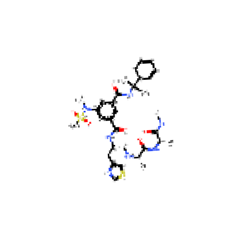 CCNC(=O)[C@@H](NC(=O)[C@H](C)NC[C@H](Cc1cscn1)NC(=O)c1cc(C(=O)NC(C)(C)C2C=CC=CC2)cc(N(C)S(C)(=O)=O)c1)C(C)C